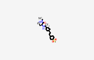 CC(C)C[C@H](N[C@@H](c1ccc(/C=C/c2ccc(S(C)(=O)=O)cc2)cc1)C(F)(F)F)C(=O)NCC#N